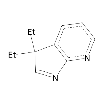 CCC1(CC)C=Nc2ncccc21